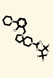 O=C(OC(C(F)(F)F)C(F)(F)F)N1CCC2(CCCN2Cc2cccc(N3CCCCC3)c2Cl)CC1